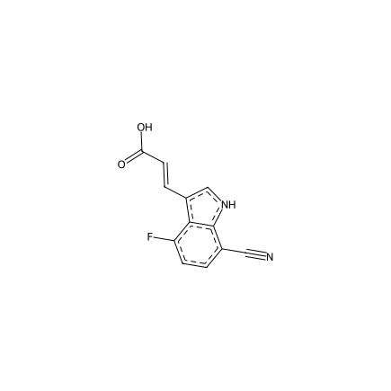 N#Cc1ccc(F)c2c(/C=C/C(=O)O)c[nH]c12